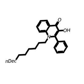 CCCCCCCCCCCCCCCCn1c(-c2ccccc2)c(O)c(=O)c2ccccc21